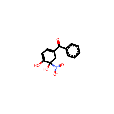 O=C(C1=CC=C(O)C(O)([N+](=O)[O-])C1)c1ccccc1